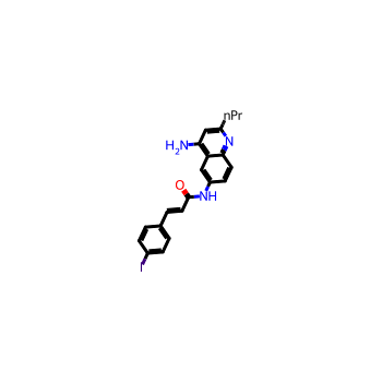 CCCc1cc(N)c2cc(NC(=O)C=Cc3ccc(I)cc3)ccc2n1